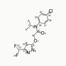 CC(C)N(C(=O)COc1nnc(C(F)F)s1)c1ccc(Cl)cc1